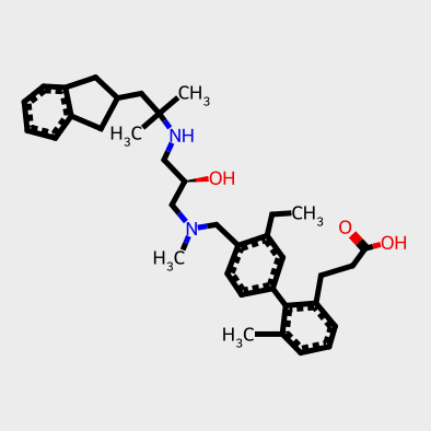 CCc1cc(-c2c(C)cccc2CCC(=O)O)ccc1CN(C)C[C@H](O)CNC(C)(C)CC1Cc2ccccc2C1